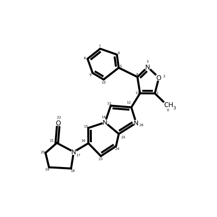 Cc1onc(-c2ccccc2)c1-c1cn2cc(N3CCCC3=O)ccc2n1